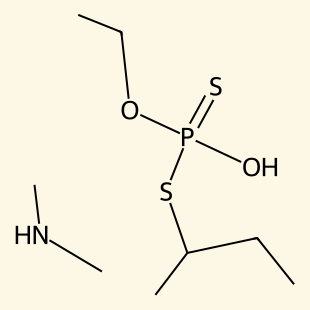 CCOP(O)(=S)SC(C)CC.CNC